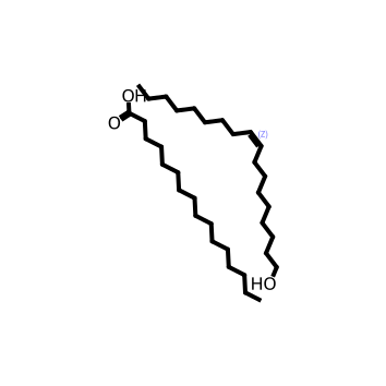 CCCCCCCC/C=C\CCCCCCCCO.CCCCCCCCCCCCCCCC(=O)O